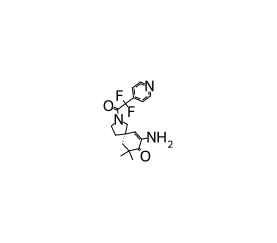 CC1(C)C[C@]2(C=C(N)C1=O)CCN(C(=O)C(F)(F)c1ccncc1)C2